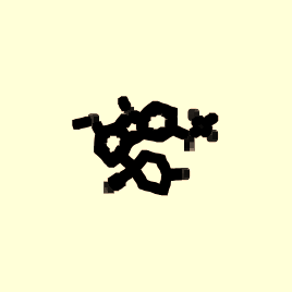 COc1ccc(C2(C#N)CCC(=O)CC2)c2c3cc(NS(C)(=O)=O)ccc3n(C)c12